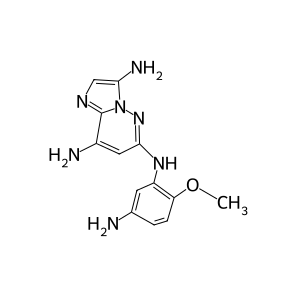 COc1ccc(N)cc1Nc1cc(N)c2ncc(N)n2n1